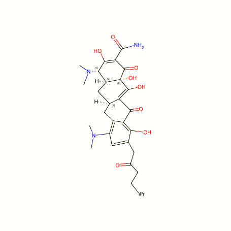 CC(C)CCC(=O)Cc1cc(N(C)C)c2c(c1O)C(=O)C1=C(O)[C@]3(O)C(=O)C(C(N)=O)=C(O)[C@@H](N(C)C)[C@@H]3C[C@@H]1C2